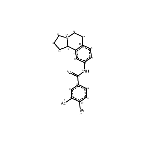 CC(=O)c1cc(C(=O)Nc2ccc3c(c2)C2CCCN2CC3)ccc1C(C)C